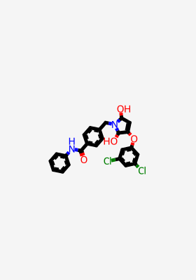 O=C(Nc1ccccc1)c1ccc(CN2C(O)C=C(Oc3cc(Cl)cc(Cl)c3)C2O)cc1